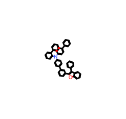 c1ccc(-c2ccc(N(c3ccc(-c4cccc(-c5oc6ccccc6c5-c5ccccc5)c4)cc3)c3ccccc3-c3ccccc3)cc2)cc1